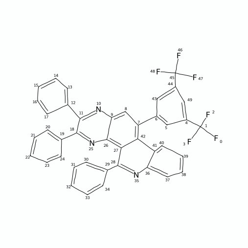 FC(F)(F)c1cc(-c2cc3nc(-c4ccccc4)c(-c4ccccc4)nc3c3c(-c4ccccc4)nc4ccccc4c23)cc(C(F)(F)F)c1